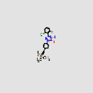 CS(C)(C)C#Cc1ccc(-n2nc(-c3c(F)cccc3Cl)[nH]c2=O)cc1